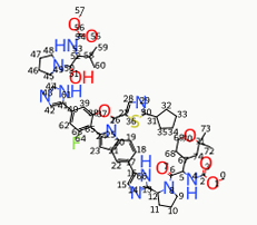 COC(=O)NC(C(=O)N1CCC[C@H]1c1ncc(-c2ccc3c(c2)cc2n3C(c3cnc(C4CCCC4)s3)Oc3cc(-c4cnc([C@@H]5CCCN5C(O)[C@@H](NC(=O)OC)C(C)C)[nH]4)cc(F)c3-2)[nH]1)C1CCOC(C)(C)C1